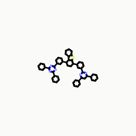 c1ccc(-c2cc(-c3ccccc3)nc(-c3cccc(-c4ccc(-c5cccc(-c6nc(-c7ccccc7)nc(-c7ccccc7)n6)c5)c5c4sc4ccccc45)c3)n2)cc1